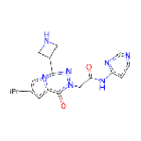 CC(C)c1cc2c(=O)n(CC(=O)Nc3ccncn3)nc(C3CNC3)n2c1